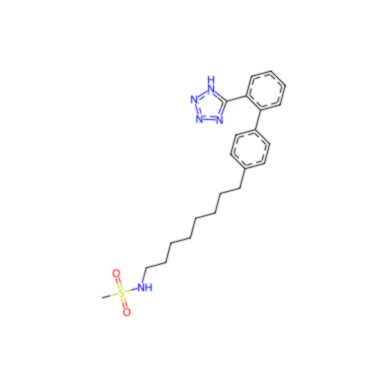 CS(=O)(=O)NCCCCCCCCc1ccc(-c2ccccc2-c2nnn[nH]2)cc1